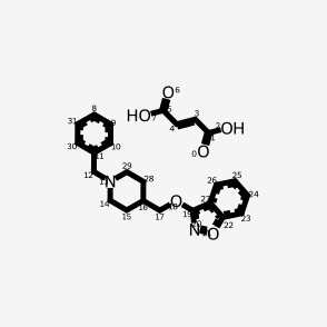 O=C(O)C=CC(=O)O.c1ccc(CN2CCC(COc3noc4ccccc34)CC2)cc1